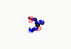 CCc1nc(C)ccc1-c1cc(C(=O)N2Cc3cnn(CC)c3C2)cc2cc(C3=CCCN(C(=O)OC(C)(C)C)C3)[nH]c12